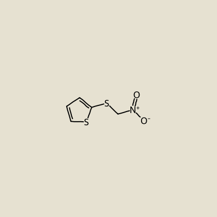 O=[N+]([O-])CSc1cccs1